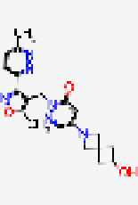 Cc1ccc(-c2noc(C)c2Cn2ncc(N3CC4(CC(O)C4)C3)cc2=O)nn1